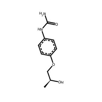 C[C@H](O)COc1ccc(NC(N)=O)cc1